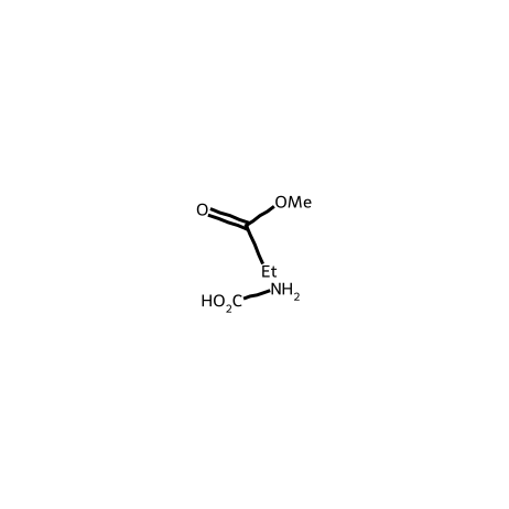 CCC(=O)OC.NC(=O)O